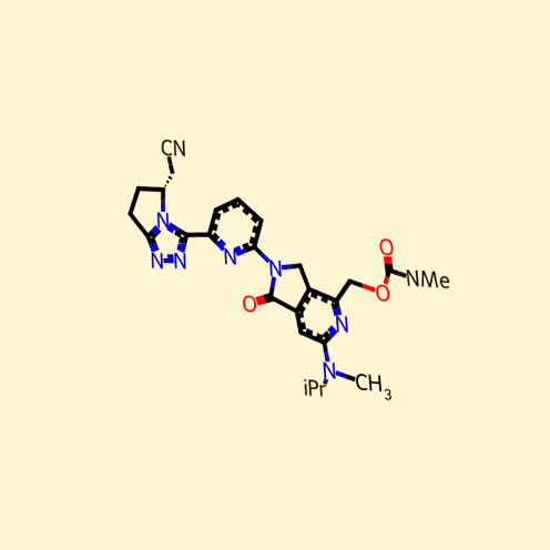 CNC(=O)OCc1nc(N(C)C(C)C)cc2c1CN(c1cccc(-c3nnc4n3[C@@H](CC#N)CC4)n1)C2=O